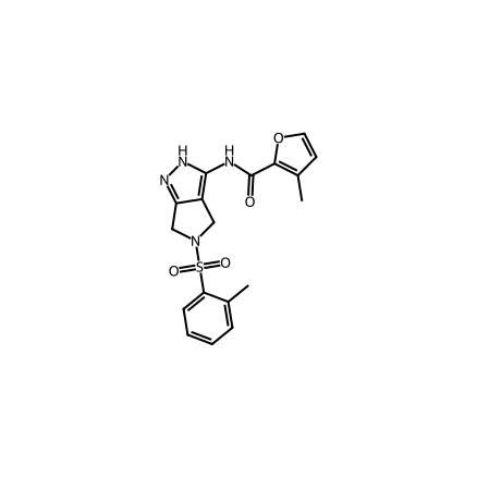 Cc1ccccc1S(=O)(=O)N1Cc2n[nH]c(NC(=O)c3occc3C)c2C1